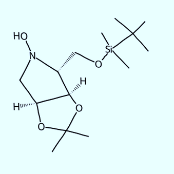 CC1(C)O[C@H]2[C@H](CN(O)[C@@H]2CO[Si](C)(C)C(C)(C)C)O1